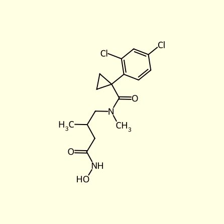 CC(CC(=O)NO)CN(C)C(=O)C1(c2ccc(Cl)cc2Cl)CC1